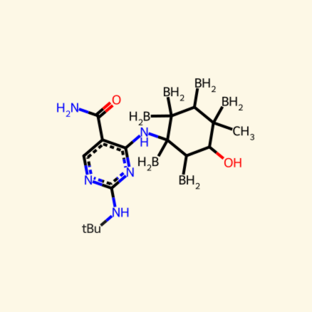 BC1C(B)(C)C(O)C(B)C(B)(Nc2nc(NC(C)(C)C)ncc2C(N)=O)C1(B)B